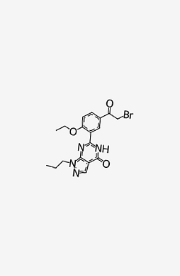 CCCn1ncc2c(=O)[nH]c(-c3cc(C(=O)CBr)ccc3OCC)nc21